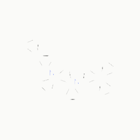 CC1(C)c2ccccc2-c2ccc(-n3c4ccccc4c4c5c6ccccc6n(-c6ccc7c8ccccc8c8ccccc8c7c6)c5ccc43)cc21